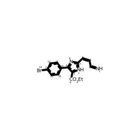 CCOC(=O)c1[nH]c(/C=C\C=N)nc1-c1ccc(Br)cc1